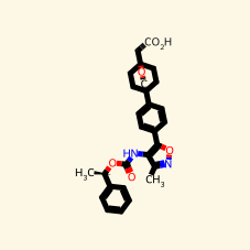 Cc1noc(-c2ccc(C34CCC(CC(=O)O)(CC3)OC4)cc2)c1NC(=O)O[C@H](C)c1ccccc1